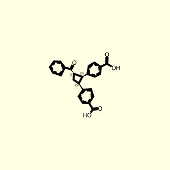 O=C(O)c1ccc([C@@H]2[C@@H](C(=O)c3ccccc3)C[C@@H]2c2ccc(C(=O)O)cc2)cc1